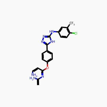 C=C(N)/N=C(\C=C/N)Oc1ccc(-c2nnc(Nc3ccc(Cl)c(C(F)(F)F)c3)[nH]2)cc1